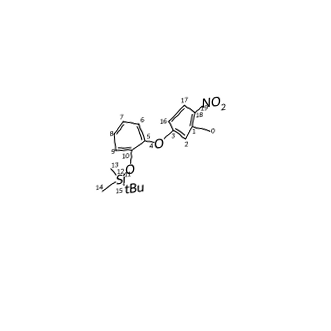 Cc1cc(Oc2ccccc2O[Si](C)(C)C(C)(C)C)ccc1[N+](=O)[O-]